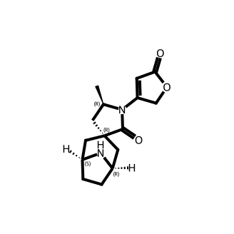 C[C@@H]1C[C@@]2(C[C@H]3CC[C@@H](C2)N3)C(=O)N1C1=CC(=O)OC1